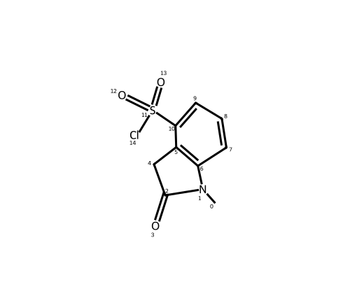 CN1C(=O)Cc2c1cccc2S(=O)(=O)Cl